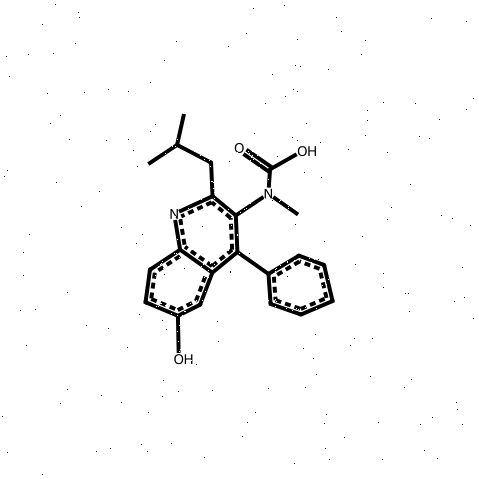 CC(C)Cc1nc2ccc(O)cc2c(-c2ccccc2)c1N(C)C(=O)O